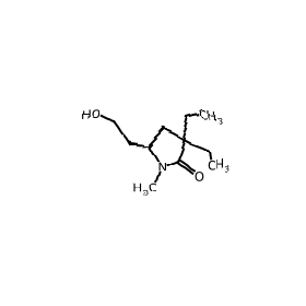 CCC1(CC)C[C@H](CCO)N(C)C1=O